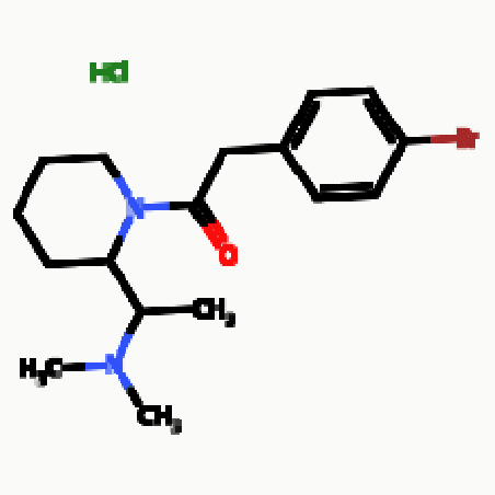 CC(C1CCCCN1C(=O)Cc1ccc(Br)cc1)N(C)C.Cl